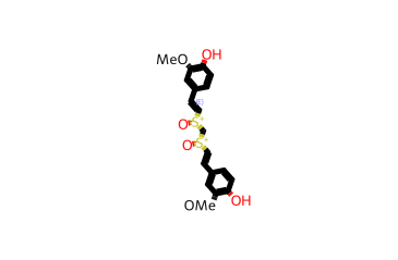 COc1cc(C=C[S+]([O-])C[S+]([O-])/C=C/c2ccc(O)c(OC)c2)ccc1O